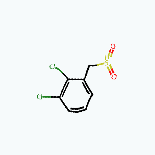 O=[SH](=O)Cc1cccc(Cl)c1Cl